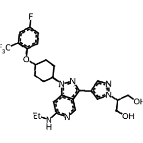 CCNc1cc2c(cn1)c(-c1cnn(C(CO)CO)c1)nn2C1CCC(Oc2ccc(F)cc2C(F)(F)F)CC1